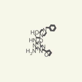 Nc1nc(N[C@@H](CO)C(=O)N2CCN(Cc3ccccc3)CC2)nc2nc(-c3ccco3)nn12